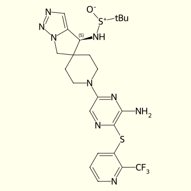 CC(C)(C)[S+]([O-])N[C@@H]1c2cnnn2CC12CCN(c1cnc(Sc3cccnc3C(F)(F)F)c(N)n1)CC2